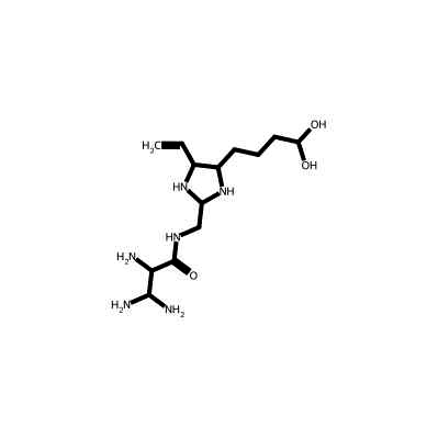 C=CC1NC(CNC(=O)C(N)C(N)N)NC1CCCC(O)O